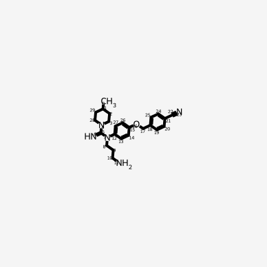 CC1CCN(C(=N)N(CCCN)c2ccc(OCc3ccc(C#N)cc3)cc2)CC1